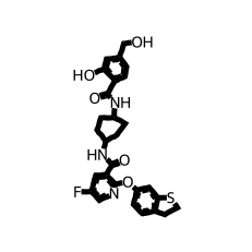 O=C(NC1CCC(NC(=O)c2cc(F)cnc2Oc2ccc3c(c2)SCC3)CC1)c1ccc(CO)cc1O